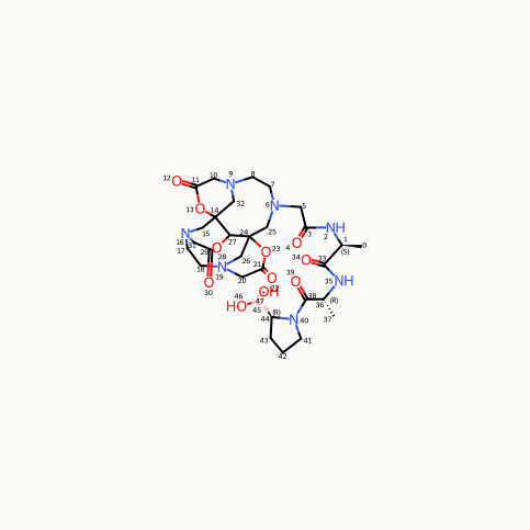 C[C@H](NC(=O)CN1CCN2CC(=O)OC3(CN4CCN5CC(=O)OC(C1)(C5)C3OC(=O)C4)C2)C(=O)N[C@H](C)C(=O)N1CCC[C@H]1B(O)O